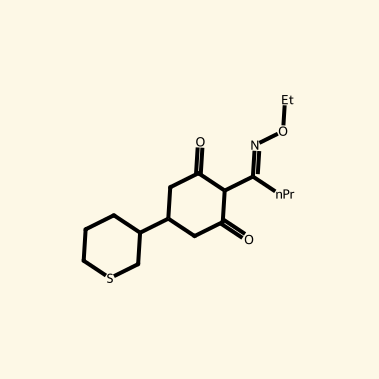 CCCC(=NOCC)C1C(=O)CC(C2CCCSC2)CC1=O